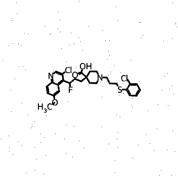 COc1ccc2ncc(Cl)c(C(F)CCC3(C(=O)O)CCN(CCCSc4ccccc4Cl)CC3)c2c1